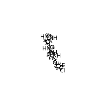 O=C(COc1ccc(Cl)c(F)c1)N[C@@H]1CC(NC(=O)c2ccc3c(c2)NCCN3)C2CC1C2